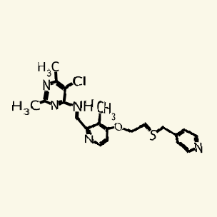 Cc1nc(C)c(Cl)c(NCc2nccc(OCCSCc3ccncc3)c2C)n1